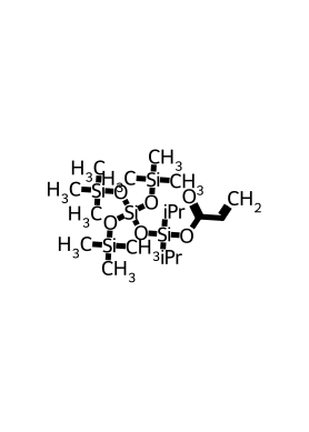 C=CC(=O)O[Si](O[Si](O[Si](C)(C)C)(O[Si](C)(C)C)O[Si](C)(C)C)(C(C)C)C(C)C